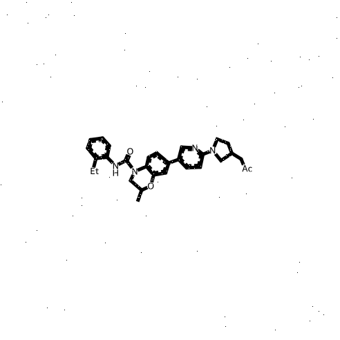 CCc1ccccc1NC(=O)N1CC(C)Oc2cc(-c3ccc(N4CCC(CC(C)=O)C4)nc3)ccc21